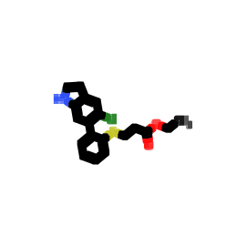 CCOC(=O)CCSc1ccccc1-c1cc2[nH]ccc2cc1Cl